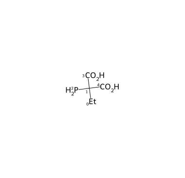 CCC(P)(C(=O)O)C(=O)O